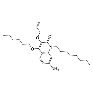 C=CCOc1c(OCCCCCC)c2ccc(N)cc2n(CCCCCCCC)c1=O